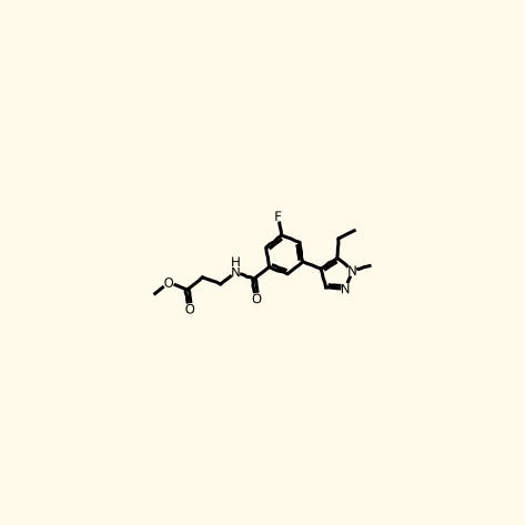 CCc1c(-c2cc(F)cc(C(=O)NCCC(=O)OC)c2)cnn1C